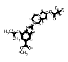 COC(=O)c1cc(OC(C)C)c2nc(N3CCN4C[C@H](OC(=O)C(F)(F)F)C[C@@H]4C3)sc2c1